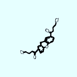 O=C(CCCCl)c1ccc2c(c1)Cc1cc(C(=O)CCCCl)ccc1O2